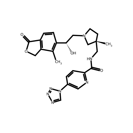 Cc1c([C@@H](O)CN2CC[C@](C)(CNC(=O)c3ccc(-n4cnnn4)cn3)C2)ccc2c1COC2=O